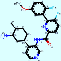 CCCOc1ccc(F)c(-c2nc(C(=O)Nc3cnccc3[C@@H]3CC[C@H](C)[C@H](N)C3)ccc2F)c1